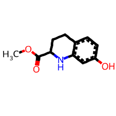 COC(=O)C1CCc2ccc(O)cc2N1